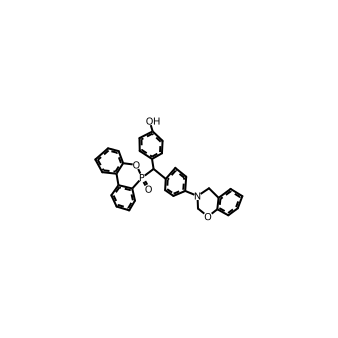 O=P1(C(c2ccc(O)cc2)c2ccc(N3COc4ccccc4C3)cc2)Oc2ccccc2-c2ccccc21